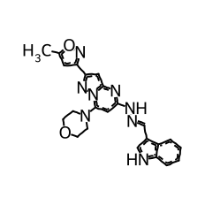 Cc1cc(-c2cc3nc(NN=Cc4c[nH]c5ccccc45)cc(N4CCOCC4)n3n2)no1